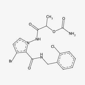 CC(OC(N)=O)C(=O)Nn1ccc(Br)c1C(=O)NCc1ccccc1Cl